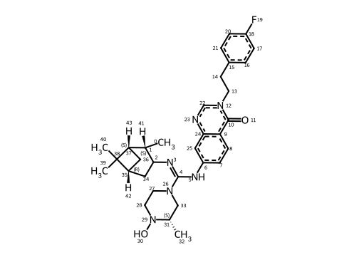 C[C@@H]1C(N=C(Nc2ccc3c(=O)n(CCc4ccc(F)cc4)cnc3c2)N2CCN(O)[C@@H](C)C2)C[C@H]2C[C@@H]1C2(C)C